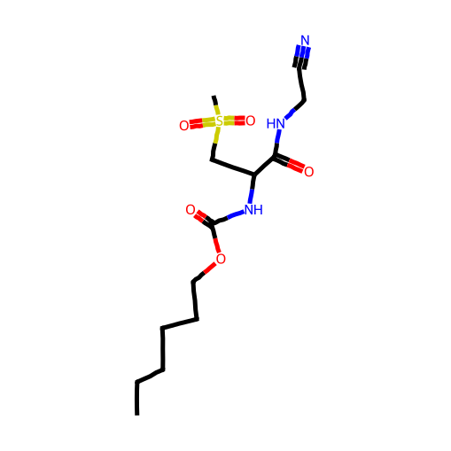 CCCCCCOC(=O)NC(CS(C)(=O)=O)C(=O)NCC#N